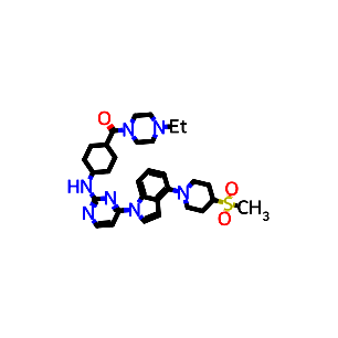 CCN1CCN(C(=O)C2CCC(Nc3nccc(-n4ccc5c(N6CCC(S(C)(=O)=O)CC6)cccc54)n3)CC2)CC1